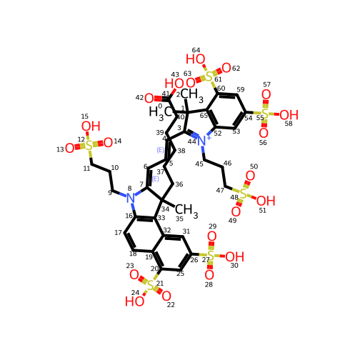 CC1(C)C(/C=C/C=C2/N(CCCS(=O)(=O)O)c3ccc4c(S(=O)(=O)O)cc(S(=O)(=O)O)cc4c3C2(C)CCCCCC(=O)O)=[N+](CCCS(=O)(=O)O)c2cc(S(=O)(=O)O)cc(S(=O)(=O)O)c21